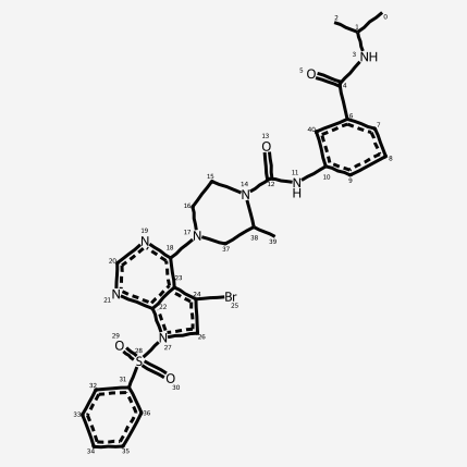 CC(C)NC(=O)c1cccc(NC(=O)N2CCN(c3ncnc4c3c(Br)cn4S(=O)(=O)c3ccccc3)CC2C)c1